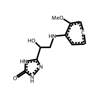 COc1ccccc1NCC(O)c1n[nH]c(=O)[nH]1